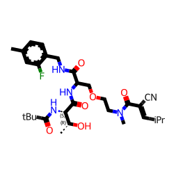 Cc1ccc(CNC(=O)C(COCCN(C)C(=O)C(C#N)=CC(C)C)NC(=O)[C@@H](NC(=O)C(C)(C)C)[C@@H](C)O)c(F)c1